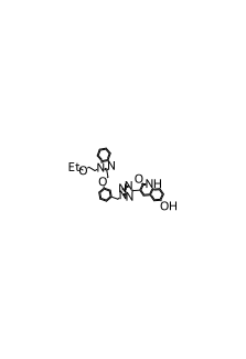 CCOCCn1c(COc2cccc(Cn3nnc(-c4cc5cc(O)ccc5[nH]c4=O)n3)c2)nc2ccccc21